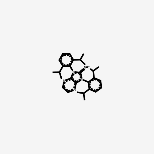 CC(C)c1cccc(C(C)C)c1-n1c(=NCl)n(-c2c(C(C)C)cccc2C(C)C)c2nccnc21